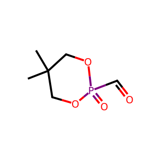 CC1(C)COP(=O)(C=O)OC1